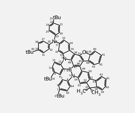 CC(C)(C)c1ccc(N2B3c4cc(C(C)(C)C)ccc4-n4c5cc(N(c6ccc(C(C)(C)C)cc6)c6ccc(C(C)(C)C)cc6)ccc5c5c6oc7ccccc7c6c(c3c54)-c3cc4c(cc32)C(C)(C)c2ccccc2-4)cc1